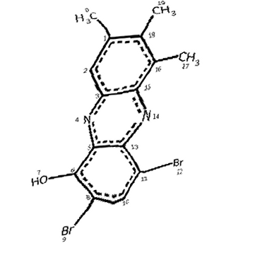 Cc1cc2nc3c(O)c(Br)cc(Br)c3nc2c(C)c1C